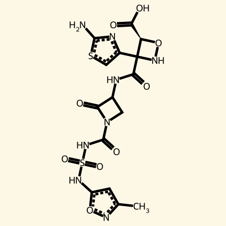 Cc1cc(NS(=O)(=O)NC(=O)N2CC(NC(=O)C3(c4csc(N)n4)NO[C@@H]3C(=O)O)C2=O)on1